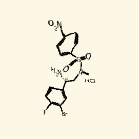 CN(C[C@@H](N)c1ccc(F)c(Br)c1)S(=O)(=O)c1ccc([N+](=O)[O-])cc1.Cl